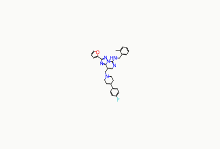 Cc1ccccc1CNc1ncc(CN2CC=C(c3ccc(F)cc3)CC2)c2nc(-c3ccco3)nn12